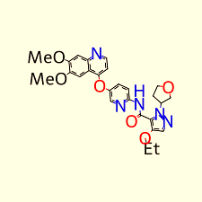 CCOc1cnn(C2CCOC2)c1C(=O)Nc1ccc(Oc2ccnc3cc(OC)c(OC)cc23)cn1